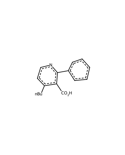 CCCCc1ccnc(-c2ccccc2)c1C(=O)O